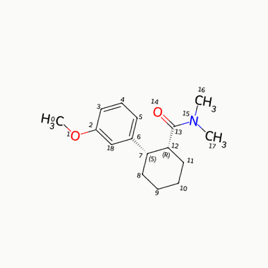 COc1cccc([C@H]2CCCC[C@H]2C(=O)N(C)C)c1